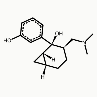 CN(C)C[C@H]1CC[C@@H]2C[C@@H]2[C@]1(O)c1cccc(O)c1